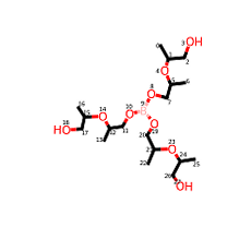 CC(CO)OC(C)COB(OCC(C)OC(C)CO)OCC(C)OC(C)CO